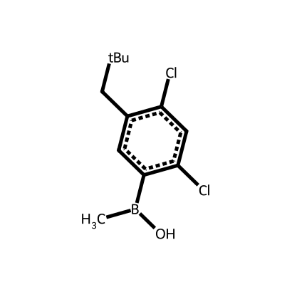 CB(O)c1cc(CC(C)(C)C)c(Cl)cc1Cl